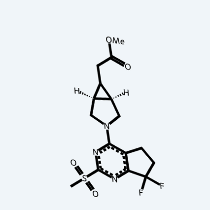 COC(=O)CC1[C@H]2CN(c3nc(S(C)(=O)=O)nc4c3CCC4(F)F)C[C@@H]12